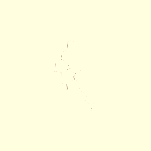 CC(C)CCCOc1c(O)c2cc(OCCO)ccc2oc1=O